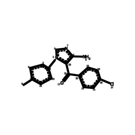 Cc1ccc(-n2cnc(N)c2C(=O)c2ccc(Cl)cc2)cc1